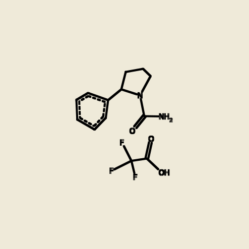 NC(=O)N1CCCC1c1ccccc1.O=C(O)C(F)(F)F